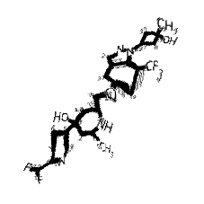 CC1CC(O)(c2ccc(C(F)F)nc2)CC(COc2cc(C(F)(F)F)c3c(cnn3C3CC(C)(O)C3)c2)N1